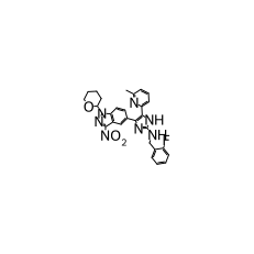 Cc1cccc(-c2[nH]c(NCc3ccccc3F)nc2-c2ccc3c(c2)c([N+](=O)[O-])nn3C2CCCCO2)n1